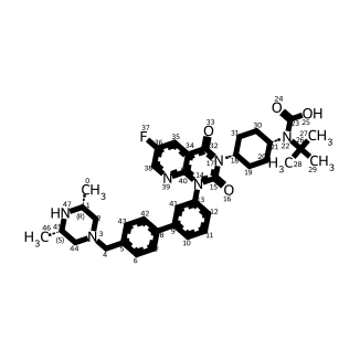 C[C@@H]1CN(Cc2ccc(-c3cccc(-n4c(=O)n([C@H]5CC[C@@H](N(C(=O)O)C(C)(C)C)CC5)c(=O)c5cc(F)cnc54)c3)cc2)C[C@H](C)N1